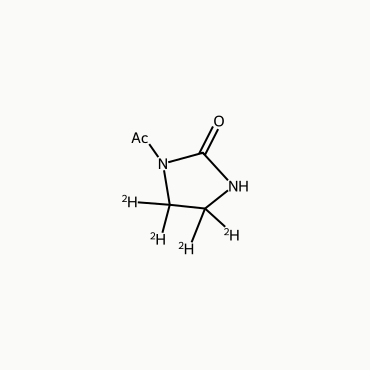 [2H]C1([2H])NC(=O)N(C(C)=O)C1([2H])[2H]